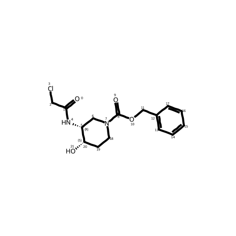 O=C(CCl)N[C@@H]1CN(C(=O)OCc2ccccc2)CC[C@@H]1O